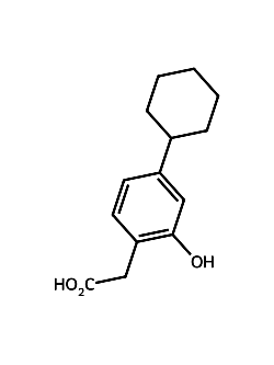 O=C(O)Cc1ccc(C2CCCCC2)cc1O